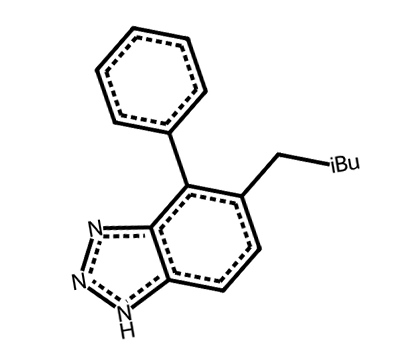 CCC(C)Cc1ccc2[nH]nnc2c1-c1ccccc1